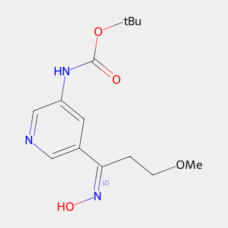 COCC/C(=N/O)c1cncc(NC(=O)OC(C)(C)C)c1